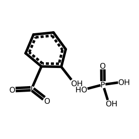 O=I(=O)c1ccccc1O.O=P(O)(O)O